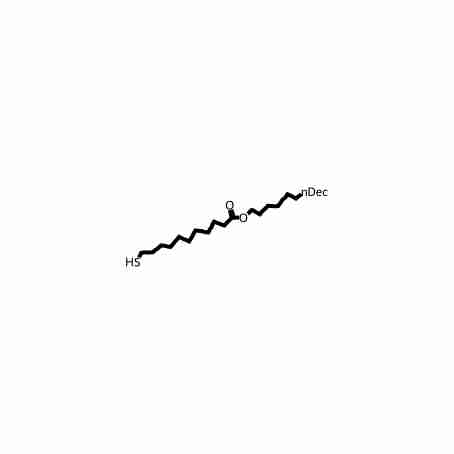 CCCCCCCCCCCCCCCCOC(=O)CCCCCCCCCCS